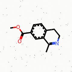 COC(=O)c1ccc2c(c1)C(C)=NCC2